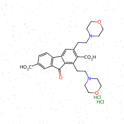 Cl.Cl.O=C(O)c1ccc2c(c1)C(=O)c1c-2cc(CCN2CCOCC2)c(C(=O)O)c1CCN1CCOCC1